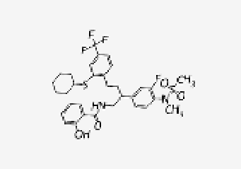 CN(c1ccc(C(CCc2ccc(C(F)(F)F)cc2SC2CCCCC2)CNC(=O)c2ccccc2O)cc1F)S(C)(=O)=O